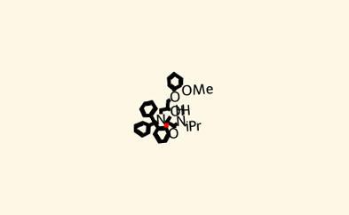 COc1ccccc1OCC(O)CN(C(C)(C)C(=O)NC(C)C)C(c1ccccc1)(c1ccccc1)c1ccccc1